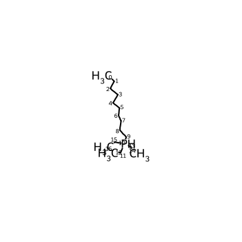 CCCCCCCCCC[PH](CC)(CC)CC